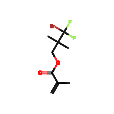 C=C(C)C(=O)OCC(C)(C)C(F)(F)Br